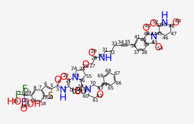 CC(C)(C)C(NC(=O)c1cc2cc(C(F)(F)P(=O)(O)O)ccc2s1)C(=O)N1C[C@@H](OCC(=O)NCCCC#Cc2ccc3c(c2)C(=O)N(C2CCC(=O)NC2=O)C3=O)C[C@H]1C(=O)N1CCO[C@H](c2ccccc2)C1